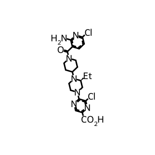 CC[C@H]1CN(c2ncc(C(=O)O)nc2Cl)CCN1C1CCN(C(=O)c2ccc(Cl)nc2N)CC1